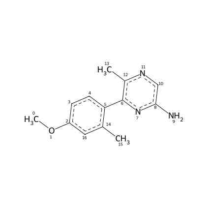 COc1ccc(-c2nc(N)cnc2C)c(C)c1